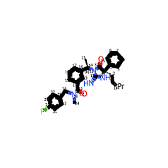 CC(C)CC[C@]1(c2ccccc2)NC(=N)N([C@H](C)c2cccc(C(=O)N(C)Cc3ccc(F)cc3)c2)C1=O